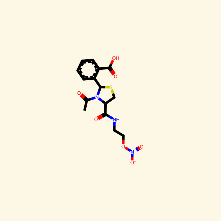 CC(=O)N1C(C(=O)NCCO[N+](=O)[O-])CSC1c1ccccc1C(=O)O